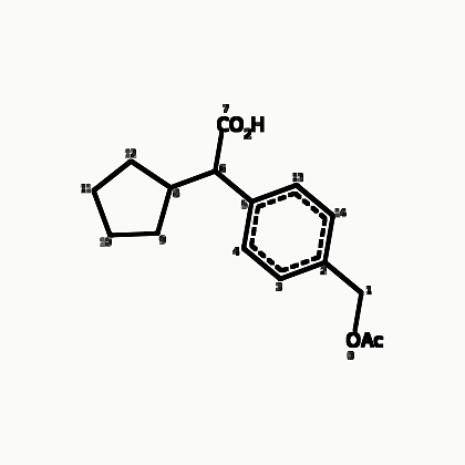 CC(=O)OCc1ccc(C(C(=O)O)C2CCCC2)cc1